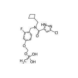 C=P(O)(O)OCOc1ccc(CN(CC2CCC2)C(=O)c2cc(Cl)n[nH]2)c(F)c1